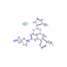 Cc1cccc(-c2nc(N3CCC4(CNC4)C3)nc3c2CC[C@@H](c2scnc2C)C3)c1C.Cl